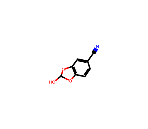 N#Cc1ccc2c(c1)OC(O)O2